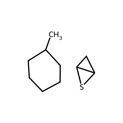 C1C2SC12.CC1CCCCC1